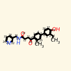 CCc1cc(-c2ccc(C(=O)CCC(=O)NCc3cccnc3)c(C)c2)ccc1O